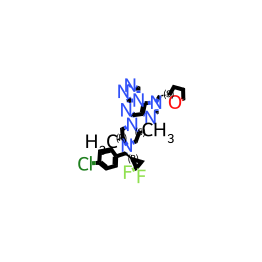 C[C@@H]1CN(c2nc3nncn3c3c2ncn3C[C@@H]2CCCO2)[C@@H](C)CN1C(c1ccc(Cl)cc1)[C@H]1CC1(F)F